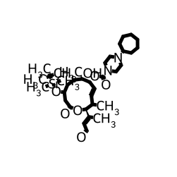 C/C(=C\C=O)[C@H]1OC(=O)CC(O[Si](C)(C)C(C)(C)C)CC[C@@](C)(O)[C@@H](OC(=O)N2CCN(C3CCCCCC3)CC2)/C=C/C1C